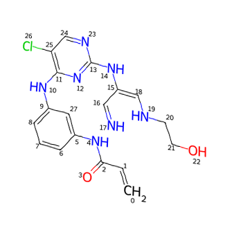 C=CC(=O)Nc1cccc(Nc2nc(N/C(C=N)=C/NCCO)ncc2Cl)c1